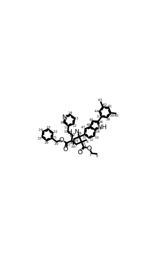 CCOC(=O)C(C)(CC(CCc1cccnc1)C(=O)OCc1ccccc1)C(N)(CC)c1ccc2[nH]c(-c3cc(C)cc(C)c3)cc2c1